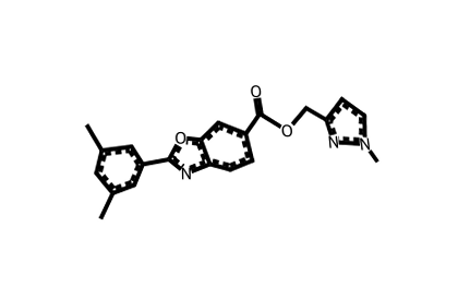 Cc1cc(C)cc(-c2nc3ccc(C(=O)OCc4ccn(C)n4)cc3o2)c1